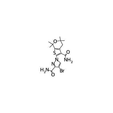 CC1(C)Cc2c(sc(-n3cc(Br)c(C(N)=O)n3)c2C(N)=O)C(C)(C)O1